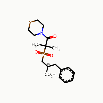 CC(C)(C(=O)N1CCSCC1)S(=O)(=O)C[C@@H](Cc1ccccc1)C(=O)O